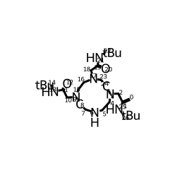 C=C(CN1CCNCCN(CC(=O)NC(C)(C)C)CCN(CC(=O)NC(C)(C)C)CC1)NC(C)(C)C